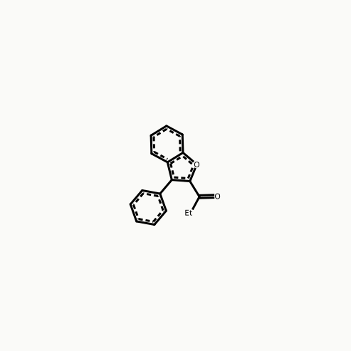 CCC(=O)c1oc2ccccc2c1-c1ccccc1